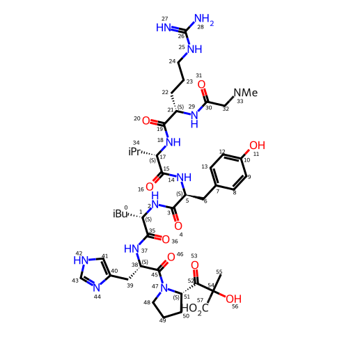 CCC(C)[C@H](NC(=O)[C@H](Cc1ccc(O)cc1)NC(=O)[C@@H](NC(=O)[C@H](CCCNC(=N)N)NC(=O)CNC)C(C)C)C(=O)N[C@@H](Cc1c[nH]cn1)C(=O)N1CCC[C@H]1C(=O)C(C)(O)C(=O)O